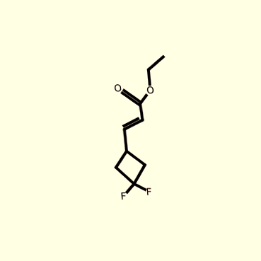 CCOC(=O)/C=C/C1CC(F)(F)C1